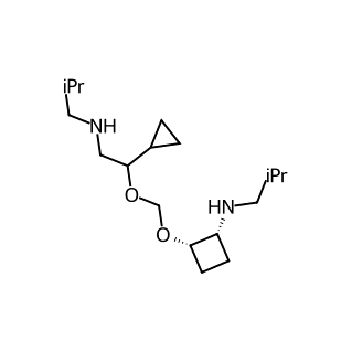 CC(C)CNCC(OCO[C@H]1CC[C@H]1NCC(C)C)C1CC1